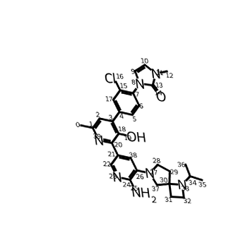 Cc1cc(-c2ccc(-n3ccn(C)c3=O)c(Cl)c2)c(O)c(-c2cnc(N)c(N3CCC4(CCN4C(C)C)C3)c2)n1